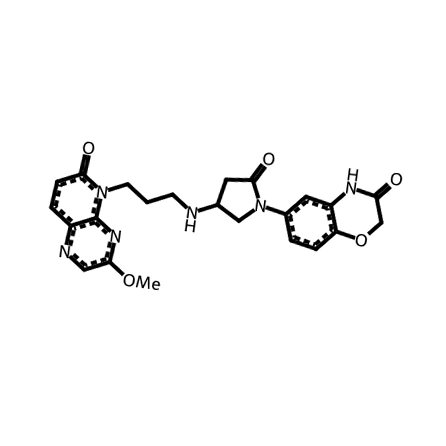 COc1cnc2ccc(=O)n(CCCNC3CC(=O)N(c4ccc5c(c4)NC(=O)CO5)C3)c2n1